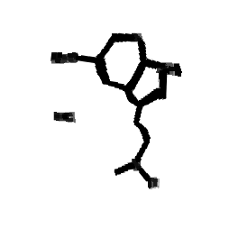 CCN(C)CCc1c[nH]c2ncc(OC)cc12.Cl